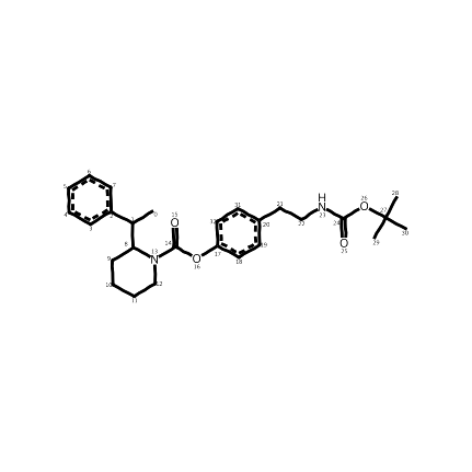 CC(c1ccccc1)C1CCCCN1C(=O)Oc1ccc(CCNC(=O)OC(C)(C)C)cc1